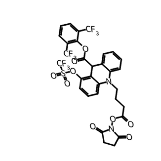 O=C(CCCN1c2ccccc2C(C(=O)Oc2c(C(F)(F)F)cccc2C(F)(F)F)c2c(OS(=O)(=O)C(F)(F)F)cccc21)ON1C(=O)CCC1=O